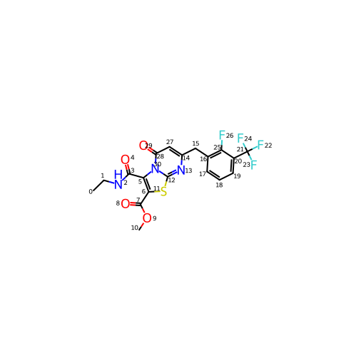 CCNC(=O)c1c(C(=O)OC)sc2nc(Cc3cccc(C(F)(F)F)c3F)cc(=O)n12